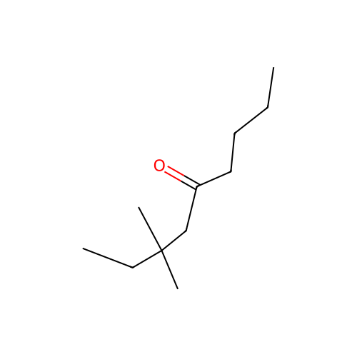 CCCCC(=O)CC(C)(C)CC